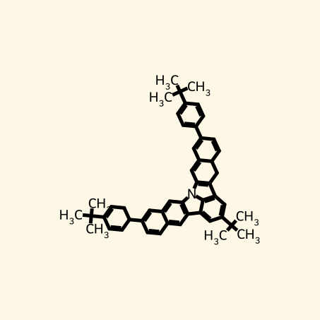 CC(C)(C)C1=CCC(c2ccc3cc4c5cc(C(C)(C)C)cc6c7c(n(c4cc3c2)c65)C=C2C=C(c3ccc(C(C)(C)C)cc3)C=CC2C7)C=C1